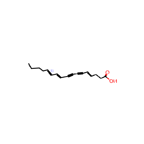 CCCC/C=C/C=CC#CC#CC=CCCC(=O)O